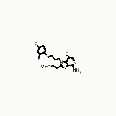 COCCc1nc2c(N)ncc(C)c2n1CCCSc1ccc(F)cc1F